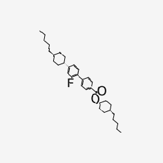 CCCCC[C@H]1CC[C@H](OC(=O)c2ccc(-c3ccc([C@H]4CC[C@H](CCCCC)CC4)cc3F)cc2)CC1